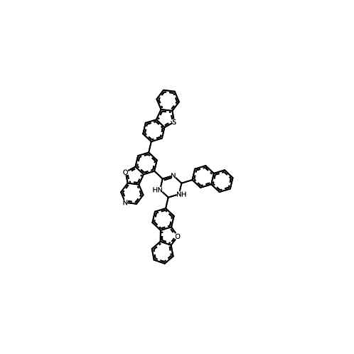 c1ccc2cc(C3N=C(c4cc(-c5ccc6c(c5)sc5ccccc56)cc5oc6cnccc6c45)NC(c4ccc5c(c4)oc4ccccc45)N3)ccc2c1